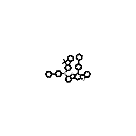 CC1(C)c2ccccc2-c2ccc(N(c3ccc(-c4ccccc4)cc3)c3cccc4c3oc3c(-c5ccc(-c6ccccc6)cc5)c5c(cc34)oc3ccccc35)cc21